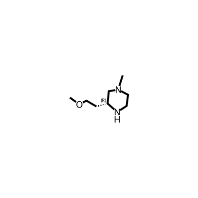 COCC[C@@H]1CN(C)CCN1